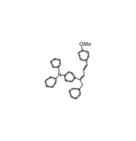 COc1ccc(C=CC=C(Cc2ccccc2)c2ccc(N(c3ccccc3)c3ccccc3)cc2)cc1